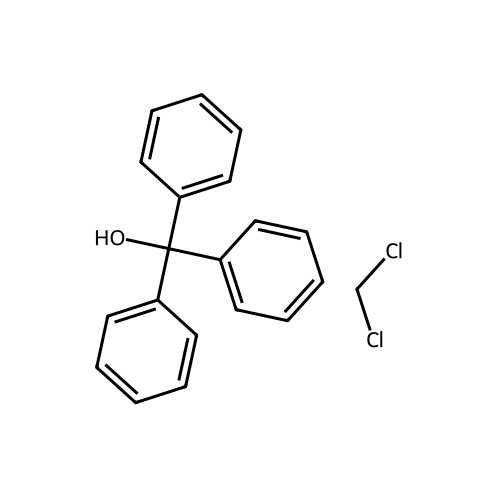 ClCCl.OC(c1ccccc1)(c1ccccc1)c1ccccc1